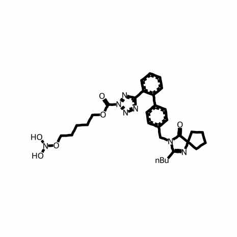 CCCCC1=NC2(CCCC2)C(=O)N1Cc1ccc(-c2ccccc2-c2nnn(C(=O)OCCCCCON(O)O)n2)cc1